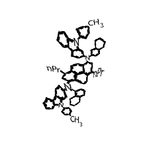 CCCc1cc(N(c2ccc3c(c2)CCCC3)c2ccc3c4ccccc4n(-c4ccc(C)cc4)c3c2)c2ccc3c(CCC)cc(N(c4ccc5c6ccccc6n(-c6ccc(C)cc6)c5c4)c4cccc5c4CCCC5)c4ccc1c2c34